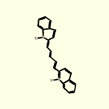 CCN1/C(=C/C=C/C=C/c2ccc3ccccc3[n+]2CC)C=Cc2ccccc21